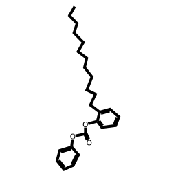 CCCCCCCCCCCCc1ccccc1OC(=O)Oc1ccccc1